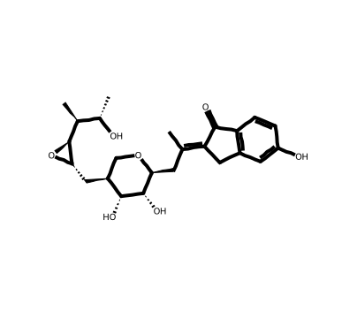 C/C(C[C@@H]1OC[C@H](C[C@@H]2O[C@H]2[C@@H](C)[C@H](C)O)[C@@H](O)[C@H]1O)=C1/Cc2cc(O)ccc2C1=O